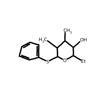 CCC1OC(Sc2ccccc2)C(C)C(C)C1O